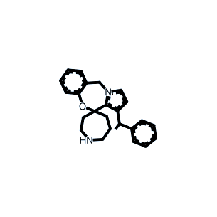 CC(c1ccccc1)c1ccn2c1C1(CCCNCC1)Oc1ccccc1C2